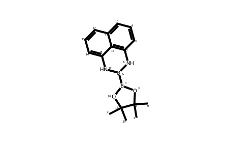 CC1(C)OB(B2Nc3cccc4cccc(c34)N2)OC1(C)C